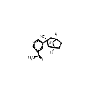 N#C[C@]1(c2cncc(C(N)=S)c2)C[C@H]2CC[C@@H](C1)N2